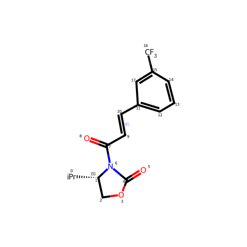 CC(C)[C@H]1COC(=O)N1C(=O)/C=C/c1cccc(C(F)(F)F)c1